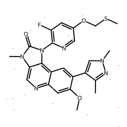 COc1cc2ncc3c(c2cc1-c1cn(C)nc1C)n(-c1ncc(OCSC)cc1F)c(=O)n3C